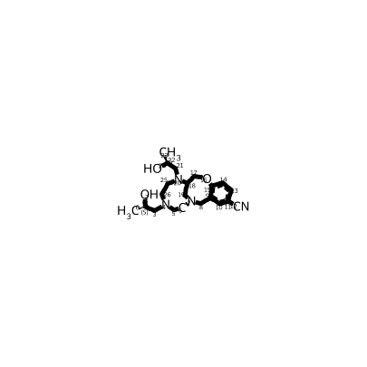 C[C@H](O)CN1CCN2Cc3cc(C#N)ccc3OCC(C2)N(C[C@H](C)O)CC1